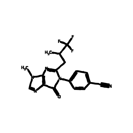 CC(Cc1nc2c(ncn2C)c(=O)n1-c1ccc(C#N)cc1)C(F)(F)F